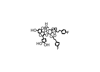 O=C(CCc1ccc(F)cc1)OC1C(O)[C@@H](CO)O[C@@H](Oc2c(-c3ccc(O)c(O)c3)oc3cc(O)cc(O)c3c2=O)[C@H]1OC(=O)CCc1ccc(F)cc1